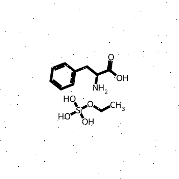 CCO[Si](O)(O)O.NC(Cc1ccccc1)C(=O)O